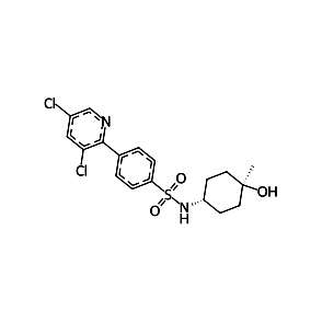 C[C@]1(O)CC[C@H](NS(=O)(=O)c2ccc(-c3ncc(Cl)cc3Cl)cc2)CC1